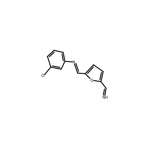 N=Cc1ccc(C=Nc2cccc(Cl)c2)o1